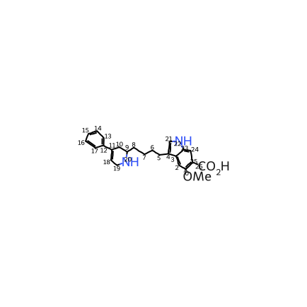 COc1cc2c(CCCCC3CC(c4ccccc4)=CCN3)c[nH]c2cc1C(=O)O